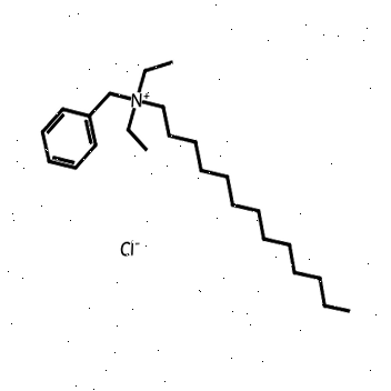 CCCCCCCCCCCCC[N+](CC)(CC)Cc1ccccc1.[Cl-]